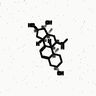 CN[C@@H]1C[C@@]2(C)[C@@H](C[C@@H](O)[C@@H]2O)C2=CC=C3C[C@@H](O)CC[C@]3(C)[C@H]21